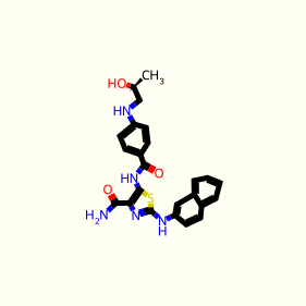 C[C@H](O)CNc1ccc(C(=O)Nc2sc(Nc3ccc4ccccc4c3)nc2C(N)=O)cc1